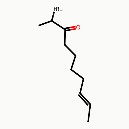 CC=CCCCCC(=O)C(C)C(C)(C)C